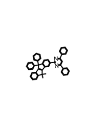 CC1(C)C2=C(c3ccccc31)C(c1ccccc1)(c1ccccc1)c1ccc(-c3nc(-c4ccccc4)cc(-c4ccccc4)n3)cc12